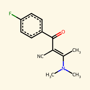 C/C(=C(/C#N)C(=O)c1ccc(F)cc1)N(C)C